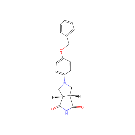 O=C1NC(=O)[C@@H]2CN(c3ccc(OCc4ccccc4)cc3)C[C@H]12